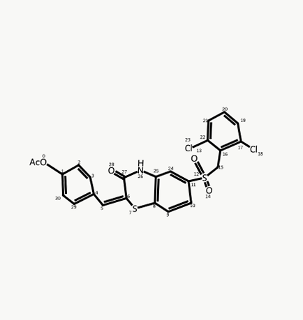 CC(=O)Oc1ccc(/C=C2/Sc3ccc(S(=O)(=O)Cc4c(Cl)cccc4Cl)cc3NC2=O)cc1